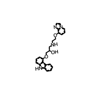 OC(CNCCOc1cccn2ccnc12)COc1cccc2[nH]c3ccccc3c12